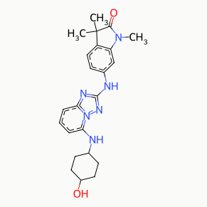 CN1C(=O)C(C)(C)c2ccc(Nc3nc4cccc(NC5CCC(O)CC5)n4n3)cc21